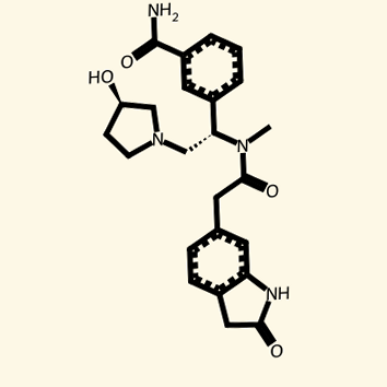 CN(C(=O)Cc1ccc2c(c1)NC(=O)C2)[C@H](CN1CC[C@@H](O)C1)c1cccc(C(N)=O)c1